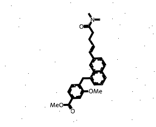 COC(=O)c1ccc(Cc2cccc3ccc(C=CCCC(=O)N(C)C)cc23)c(OC)c1